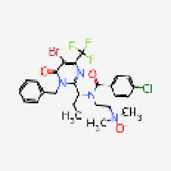 CCC(c1nc(C(F)(F)F)c(Br)c(=O)n1Cc1ccccc1)N(CC[N+](C)(C)[O-])C(=O)c1ccc(Cl)cc1